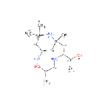 CC(O)CNC(CC1(C)CC(N)CC(C)(C)N1)C(C)O